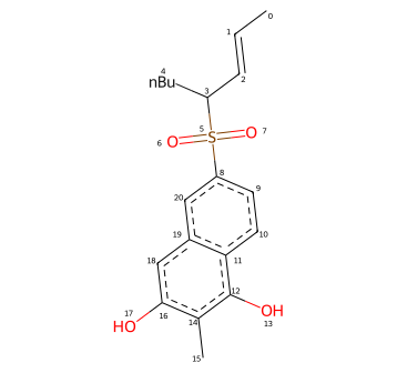 CC=CC(CCCC)S(=O)(=O)c1ccc2c(O)c(C)c(O)cc2c1